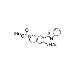 CC(=O)Nc1cc2c(cc1-c1nc3ccccc3s1)CN(C(=O)OC(C)(C)C)CC2